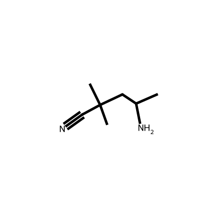 CC(N)CC(C)(C)C#N